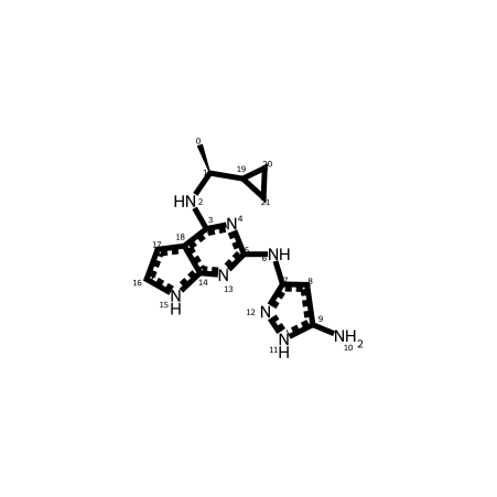 C[C@H](Nc1nc(Nc2cc(N)[nH]n2)nc2[nH]ccc12)C1CC1